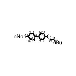 CCCCCCCCCc1ccc(-c2ccc(OCCC(C)CC)cc2)nc1